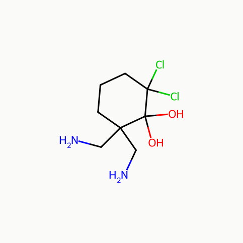 NCC1(CN)CCCC(Cl)(Cl)C1(O)O